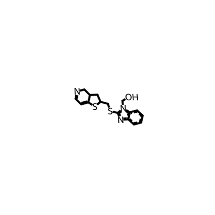 OCn1c(SCC2CC3CN=CC=C3S2)nc2ccccc21